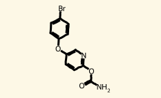 NC(=O)Oc1ccc(Oc2ccc(Br)cc2)cn1